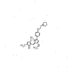 COC1=CC(c2ccc(OCCN3CCCC3)cc2)=NC1=Cc1[nH]c(C)cc1C